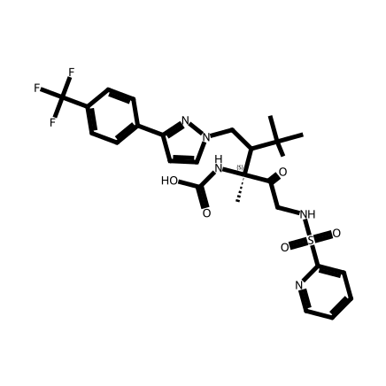 CC(C)(C)C(Cn1ccc(-c2ccc(C(F)(F)F)cc2)n1)[C@](C)(NC(=O)O)C(=O)CNS(=O)(=O)c1ccccn1